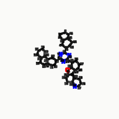 c1ccc2cc(-c3nc(-c4ccc5ccc6ccccc6c5c4)nc(-c4cccc5c4oc4ccc6ncccc6c45)n3)ccc2c1